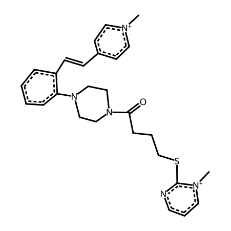 C[n+]1ccc(/C=C/c2ccccc2N2CCN(C(=O)CCCSc3nccc[n+]3C)CC2)cc1